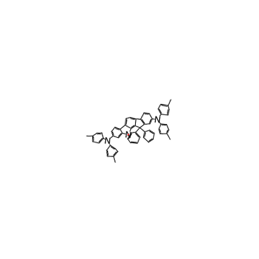 Cc1ccc(N(c2ccc(C)cc2)c2ccc3c(c2)C(c2ccccc2)(c2ccccc2)c2c-3ccc3c4ccc(N(c5ccc(C)cc5)c5ccc(C)cc5)cc4n(C)c23)cc1